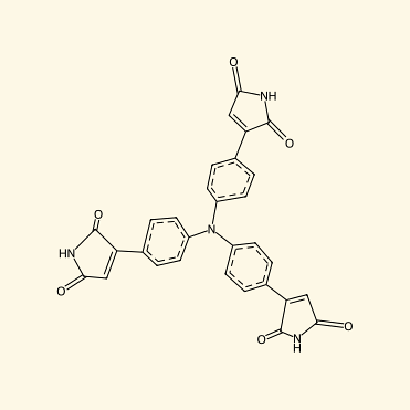 O=C1C=C(c2ccc(N(c3ccc(C4=CC(=O)NC4=O)cc3)c3ccc(C4=CC(=O)NC4=O)cc3)cc2)C(=O)N1